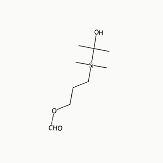 CC(C)(O)[Si](C)(C)CCCOC=O